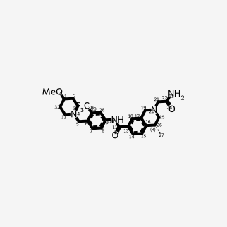 COC1CCN(Cc2ccc(NC(=O)c3ccc4c(c3)CN(CC(N)=O)C[C@@H]4C)cc2C(F)(F)F)CC1